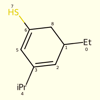 CCC1C=C(C(C)C)C=C(S)C1